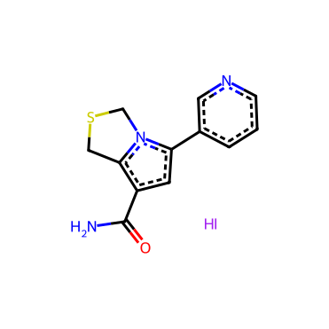 I.NC(=O)c1cc(-c2cccnc2)n2c1CSC2